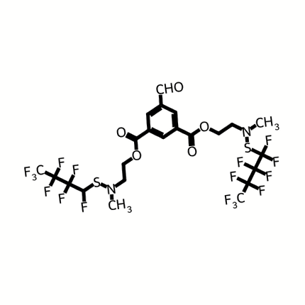 CN(CCOC(=O)c1cc(C=O)cc(C(=O)OCCN(C)SC(F)(F)C(F)(F)C(F)(F)C(F)(F)F)c1)SC(F)C(F)(F)C(F)(F)C(F)(F)F